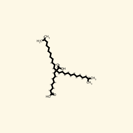 CC(C)CCCCCCCCCCC(CCCCCCCCCCC(C)C)(CCCCCCCC(=O)O)C(=O)O